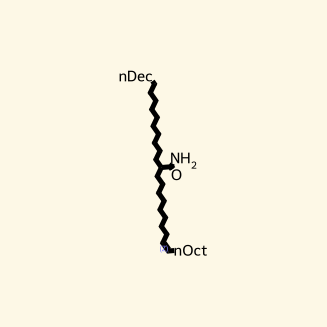 CCCCCCCC/C=C\CCCCCCCCC(CCCCCCCCCCCCCCCCCCCC)C(N)=O